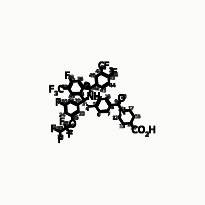 O=C(N[C@@](Cc1ccc(C(=O)N2CCC(C(=O)O)CC2)cc1)(c1cc(F)cc(OC(F)(F)C(F)F)c1)c1ccc(F)c(C(F)(F)F)c1)c1ccc(F)c(C(F)(F)F)c1